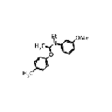 CCN(c1cccc(OC)c1)C(C)Oc1ccc(C)cc1